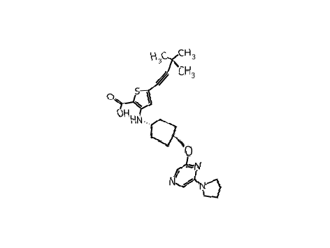 CC(C)(C)C#Cc1cc(N[C@H]2CC[C@H](Oc3cncc(N4CCCC4)n3)CC2)c(C(=O)O)s1